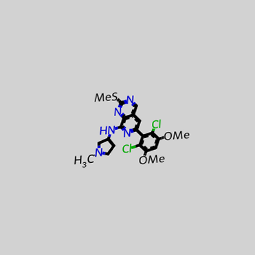 COc1cc(OC)c(Cl)c(-c2cc3cnc(SC)nc3c(NC3CCN(C)C3)n2)c1Cl